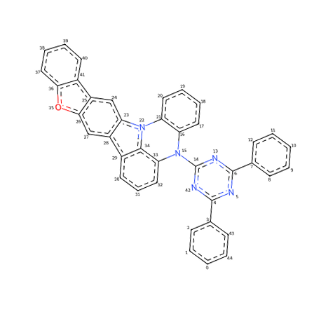 c1ccc(-c2nc(-c3ccccc3)nc(N3c4ccccc4-n4c5cc6c(cc5c5cccc3c54)oc3ccccc36)n2)cc1